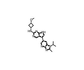 CO[C@H]1C[C@@H](Nc2ncc3c(-c4cnc5nc(C)n(C(C)C)c5c4)c[nH]c3n2)C1